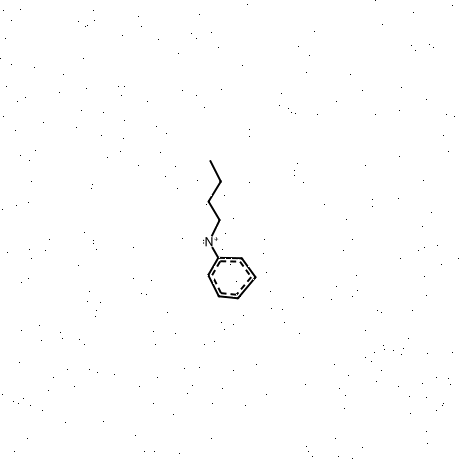 CCCC[N+]c1ccccc1